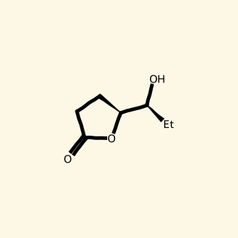 CC[C@H](O)[C@@H]1CCC(=O)O1